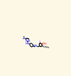 COc1cc(CNCC2CCC(Nc3nccc(N(C)C)n3)CC2)cc(I)c1O